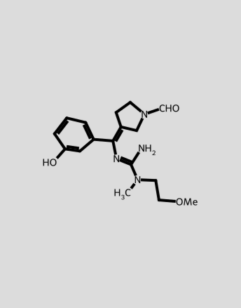 COCCN(C)/C(N)=N/C(=C1/CCN(C=O)C1)c1cccc(O)c1